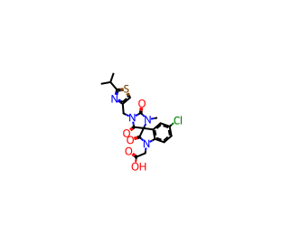 CC(C)c1nc(CN2C(=O)N(C)C3(C2=O)C(=O)N(CC(=O)O)c2ccc(Cl)cc23)cs1